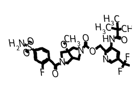 COC12CN(C(=O)OCc3ncc(C(F)(F)F)cc3NC(=O)C(C)(C)C)CC1CN(C(=O)c1ccc(S(N)(=O)=O)cc1F)C2